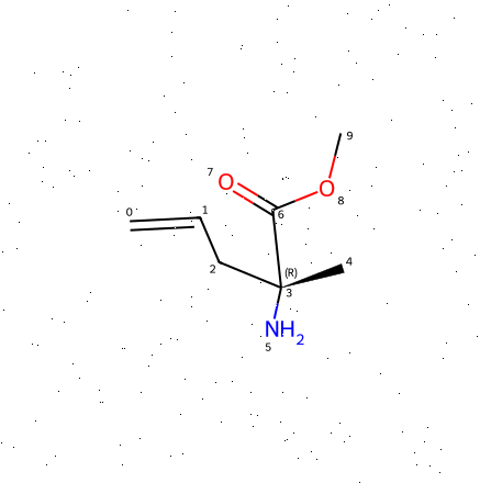 C=CC[C@@](C)(N)C(=O)OC